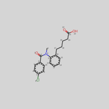 CN(C(=O)c1ccc(Cl)cc1)c1ccccc1CCCCC(=O)O